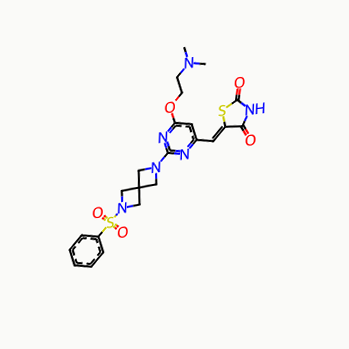 CN(C)CCOc1cc(/C=C2\SC(=O)NC2=O)nc(N2CC3(C2)CN(S(=O)(=O)c2ccccc2)C3)n1